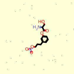 NC(CO)C(=O)Oc1cccc(CCCO[N+](=O)[O-])c1